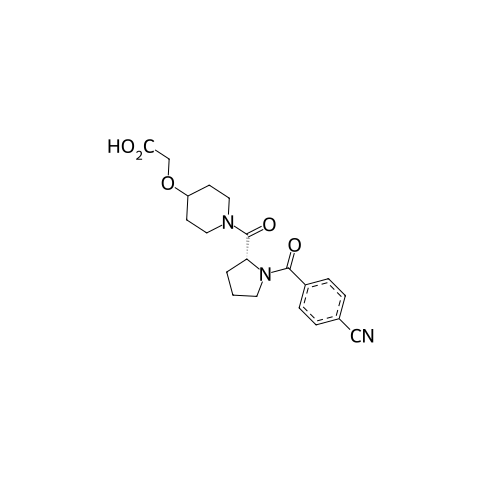 N#Cc1ccc(C(=O)N2CCC[C@@H]2C(=O)N2CCC(OCC(=O)O)CC2)cc1